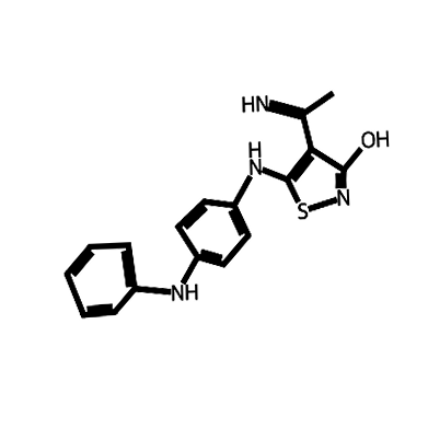 CC(=N)c1c(O)nsc1Nc1ccc(Nc2ccccc2)cc1